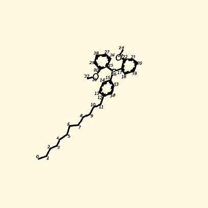 CCCCCCCCCCCCc1ccc(P(c2ccccc2OC)c2ccccc2OC)cc1